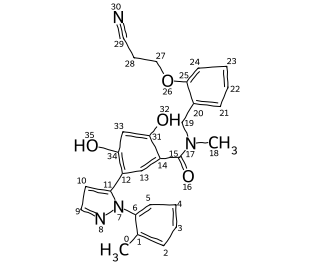 Cc1ccccc1-n1nccc1-c1cc(C(=O)N(C)Cc2ccccc2OCCC#N)c(O)cc1O